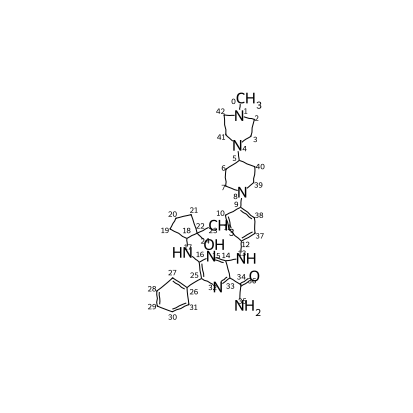 CN1CCN(C2CCN(c3ccc(Nc4nc(NC5CCCC5(C)O)c(-c5ccccc5)nc4C(N)=O)cc3)CC2)CC1